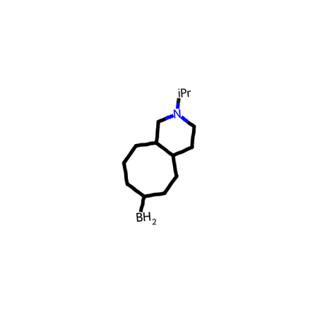 BC1CCCC2CN(C(C)C)CCC2CC1